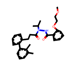 COCCOc1ccccc1C(=O)NN(C(=O)CCc1ccccc1-c1cccc(C)c1C)C(C)C